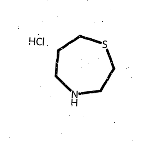 C1CNCCSC1.Cl